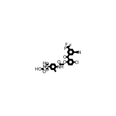 Cc1cc(S(=O)(=O)NC(=O)O)ccc1NC(=O)COc1ccc(Cl)cc1C(=O)c1cc(C#N)cc(C(F)(F)F)c1